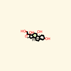 C[C@@H]1C[C@H]2[C@@H]3CCC4=CC(O)C=C[C@]4(C)[C@@]3(F)[C@@H](O)C[C@]2(C)[C@@]1(O)C(=O)CO